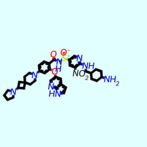 NC1CCC(CNc2ncc([S+]([O-])NC(=O)c3ccc(N4CCC5(CC4)CC(N4CCCC4)C5)cc3Oc3cnc4[nH]ccc4c3)cc2[N+](=O)[O-])CC1